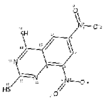 O=[N+]([O-])c1cc([N+](=O)[O-])c2nc(S)nc(S)c2c1